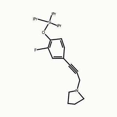 CC(C)[Si](Oc1ccc(C#CCN2CCCC2)cc1F)(C(C)C)C(C)C